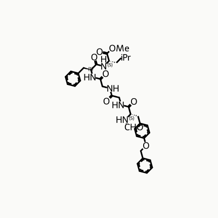 COC(=O)[C@H](CC(C)C)NC(=O)[C@H](Cc1ccccc1)NC(=O)CNC(=O)CNC(=O)[C@H](Cc1ccc(OCc2ccccc2)cc1)NC=O